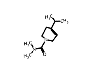 CC(C)C1=CCN(C(=O)N(C)C)CC1